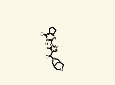 Cc1c(C(=O)N2CC3COCC(C3)C2)cnn1-c1nc2c(c(=O)[nH]1)CCC2